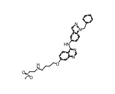 CS(=O)(=O)CCNCCCCOc1ccc2c(Nc3ccc4c(cnn4Cc4ccccc4)c3)ncnc2c1